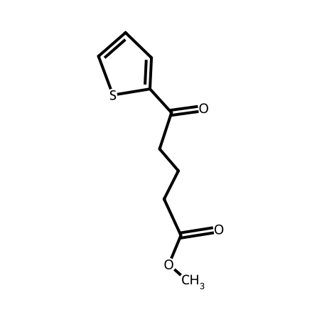 COC(=O)CCCC(=O)c1cccs1